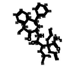 C=CCC(CC=C)(C(N)=O)C(CC(C)C)C(=O)NC1N=C(c2ccccc2)c2ccccc2N(C)C1=O